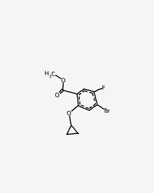 COC(=O)c1cc(F)c(Br)cc1OC1CC1